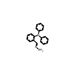 N/N=C/c1ccccc1N(c1ccccc1)c1ccccc1